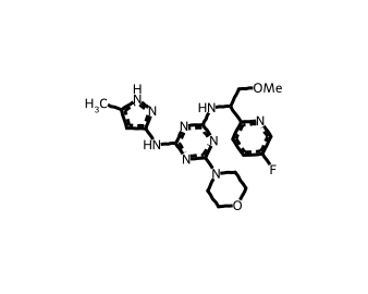 COCC(Nc1nc(Nc2cc(C)[nH]n2)nc(N2CCOCC2)n1)c1ccc(F)cn1